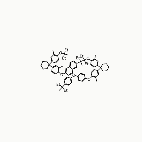 CCC(C)(CC)Oc1ccc(C2(c3ccc(Oc4ccc5cc(C(C)(CC)C(CC)(CC)Oc6ccc(C7(c8ccc(Oc9ccc(Oc%10ccc(C(C)(CC)CC)cc%10)cc9)c(C)c8)CCCCC7)cc6C)ccc5c4)c(C)c3)CCCCC2)cc1C